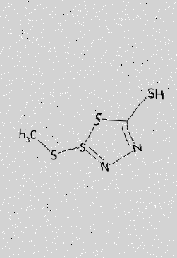 CSS1=NN=C(S)S1